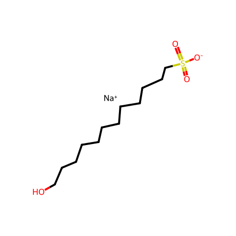 O=S(=O)([O-])CCCCCCCCCCCCO.[Na+]